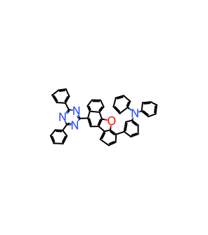 c1ccc(-c2nc(-c3ccccc3)nc(-c3cc4c5cccc(-c6cccc(N(c7ccccc7)c7ccccc7)c6)c5oc4c4ccccc34)n2)cc1